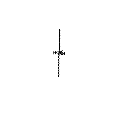 CCCCCCCCCCCCCCCCCC[N+](O)(O)C(CC)CCCCCCCCCCCCCCCCC.[Cl-]